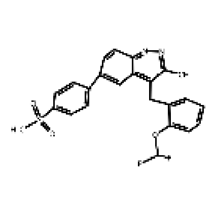 Cc1nnc2ccc(-c3ccc(S(C)(=O)=O)cc3)cc2c1Cc1ccccc1OC(F)F